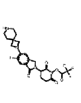 O=C1CCC(N2Cc3cc(N4CC5(CCNCC5)C4)c(F)cc3C2=O)C(=O)N1OC(=O)C(F)(F)F